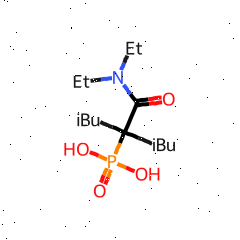 CCC(C)C(C(=O)N(CC)CC)(C(C)CC)P(=O)(O)O